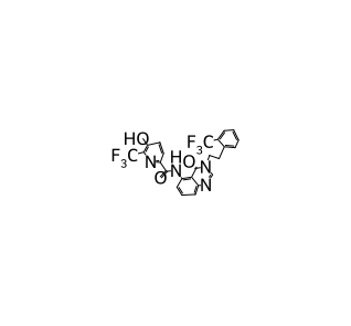 O=C(Nc1cccc2ncn(CCc3ccccc3C(F)(F)F)c(=O)c12)c1ccc(O)c(C(F)(F)F)n1